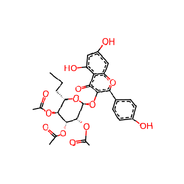 CCC[C@@H]1O[C@@H](Oc2c(-c3ccc(O)cc3)oc3cc(O)cc(O)c3c2=O)[C@H](OC(C)=O)[C@H](OC(C)=O)[C@H]1OC(C)=O